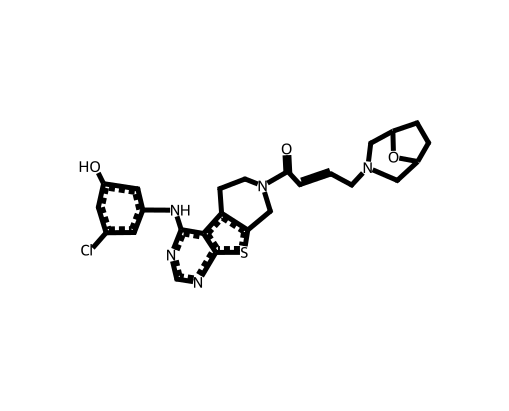 O=C(C=CCN1CC2CCC(C1)O2)N1CCc2c(sc3ncnc(Nc4cc(O)cc(Cl)c4)c23)C1